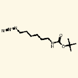 CC(C)(C)OC(=O)NCCCCCCN=[N+]=[N-]